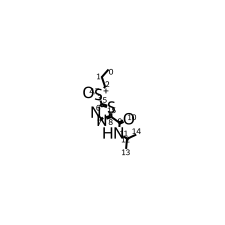 CCC[S+]([O-])c1nnc(C(=O)NC(C)C)s1